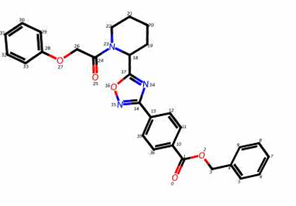 O=C(OCc1ccccc1)c1ccc(-c2noc(C3CCCCN3C(=O)COc3ccccc3)n2)cc1